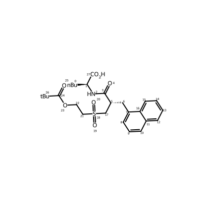 CCCC[C@H](NC(=O)[C@H](Cc1cccc2ccccc12)CS(=O)(=O)CCOC(=O)C(C)(C)C)C(=O)O